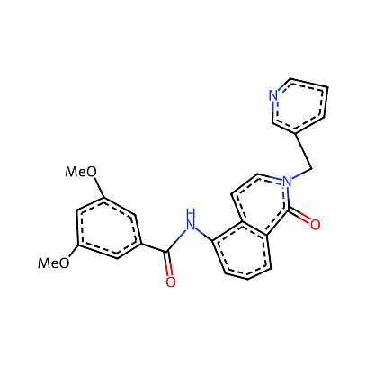 COc1cc(OC)cc(C(=O)Nc2cccc3c(=O)n(Cc4cccnc4)ccc23)c1